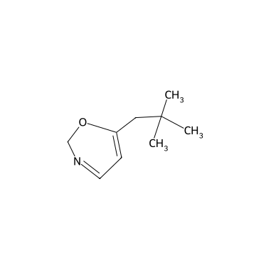 CC(C)(C)CC1=CC=NCO1